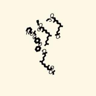 C#CCOC(=O)/C=C(C)/C=C/CC(C)CCCC(C)C.CC(COc1ccc(Oc2ccccc2)cc1)Oc1ccccn1.CCSC(=O)/C=C(C)/C=C/CC(C)CCCC(C)(C)OC.COC(C)(C)CCCC(C)C/C=C/C(C)=C/C(=O)OC(C)C